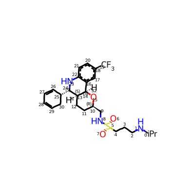 CC(C)NCCCS(=O)(=O)NC[C@H]1CC[C@@H]2[C@H](O1)c1cc(C(F)(F)F)ccc1N[C@H]2C1C=CC=CC1